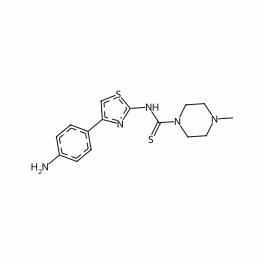 CN1CCN(C(=S)Nc2nc(-c3ccc(N)cc3)cs2)CC1